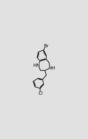 Clc1cccc(CC2CNc3ccc(Br)cc3CN2)c1